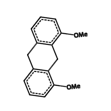 COc1cccc2c1Cc1c(cccc1OC)C2